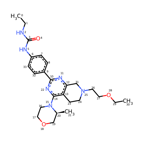 CCNC(=O)Nc1ccc(-c2nc3c(c(N4CCOC[C@@H]4C)n2)CCN(CCOCC)C3)cc1